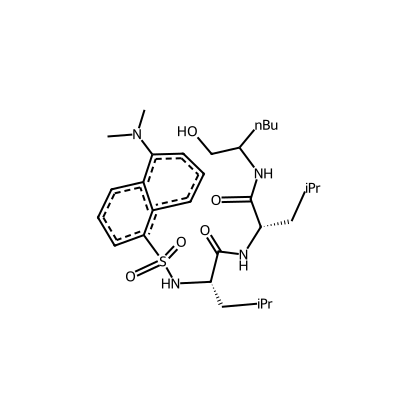 CCCCC(CO)NC(=O)[C@H](CC(C)C)NC(=O)[C@H](CC(C)C)NS(=O)(=O)c1cccc2c(N(C)C)cccc12